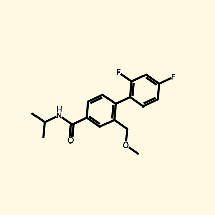 COCc1cc(C(=O)NC(C)C)ccc1-c1ccc(F)cc1F